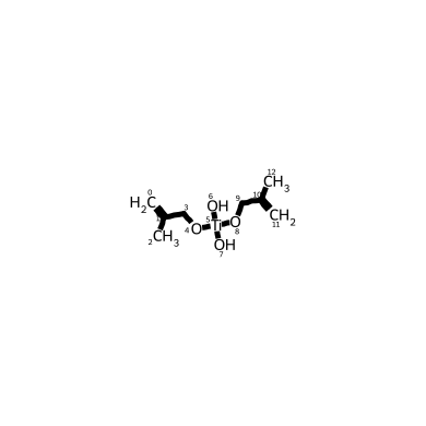 C=C(C)C[O][Ti]([OH])([OH])[O]CC(=C)C